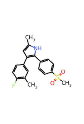 Cc1cc(-c2ccc(F)c(C)c2)c(-c2ccc(S(C)(=O)=O)cc2)[nH]1